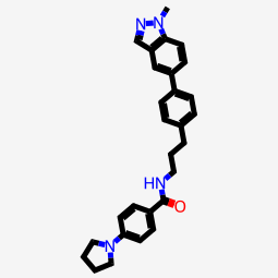 Cn1ncc2cc(-c3ccc(CCCNC(=O)c4ccc(N5CCCC5)cc4)cc3)ccc21